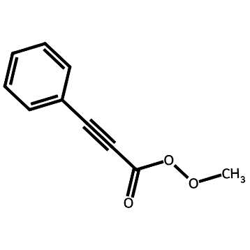 COOC(=O)C#Cc1ccccc1